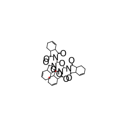 O=C1C2C=CCCC2C(=O)N1C(OC(N1C(=O)C2C=CCCC2C1=O)N1C(=O)C2C=CCCC2C1=O)N1C(=O)C2C=CCCC2C1=O